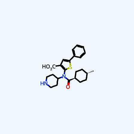 C[C@H]1CC[C@H](C(=O)N(c2sc(-c3ccccc3)cc2C(=O)O)C2CCNCC2)CC1